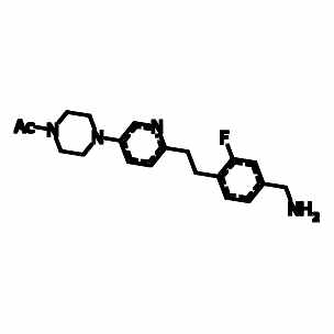 CC(=O)N1CCN(c2ccc(CCc3ccc(CN)cc3F)nc2)CC1